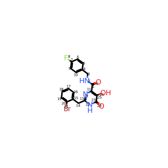 O=C(NCc1ccc(F)cc1)c1nc(Cc2ccccc2Br)[nH]c(=O)c1O